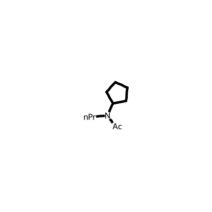 CCCN(C(C)=O)C1CCCC1